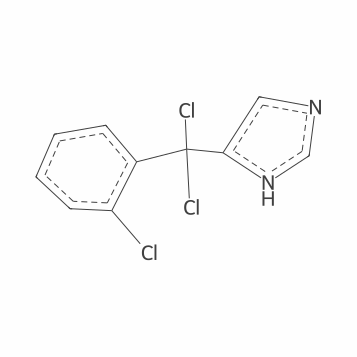 Clc1ccccc1C(Cl)(Cl)c1cnc[nH]1